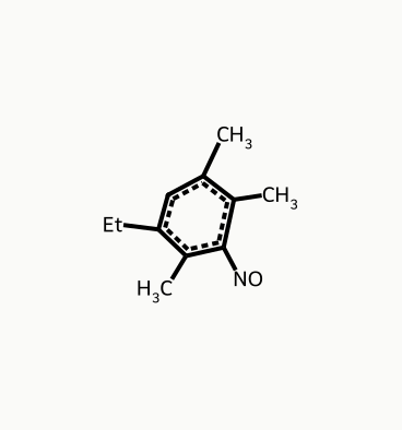 CCc1cc(C)c(C)c(N=O)c1C